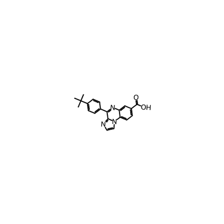 CC(C)(C)c1ccc(-c2nc3cc(C(=O)O)ccc3n3ccnc23)cc1